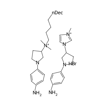 Br.CCCCCCCCCCCCCC[N+](C)(C)C1CCN(c2ccc(N)cc2)C1.C[n+]1ccn(C2CCN(c3ccc(N)cc3)C2)c1